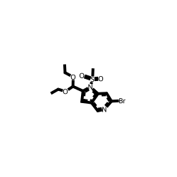 CCOC(OCC)c1cc2cnc(Br)cc2n1S(C)(=O)=O